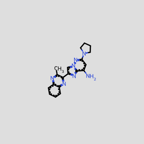 Cc1nc2ccccc2nc1-c1cn2nc(N3CCCC3)cc(N)c2n1